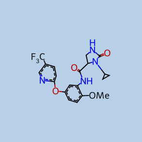 COc1ccc(Oc2ccc(C(F)(F)F)cn2)cc1NC(=O)C1CNC(=O)N1C1CC1